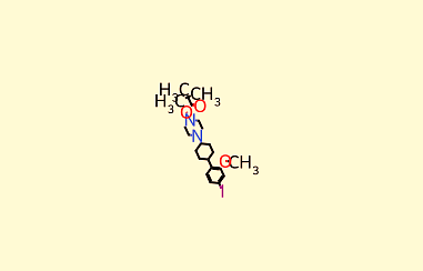 COc1cc(I)ccc1C1CCC(N2CCN(OC(=O)C(C)(C)C)CC2)CC1